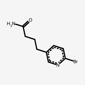 NC(=O)CCCc1ccc(Br)nc1